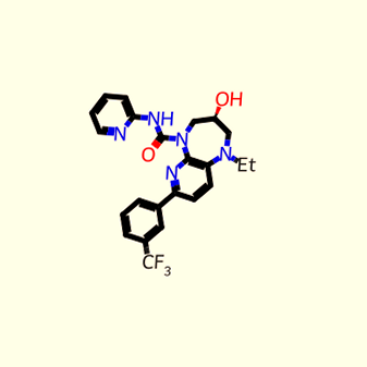 CCN1C[C@H](O)CN(C(=O)Nc2ccccn2)c2nc(-c3cccc(C(F)(F)F)c3)ccc21